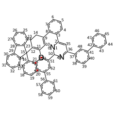 CN1C(c2ccccc2C2=CC3=C(CC2)C2(c4ccccc4O3)c3ccccc3-c3ccccc32)=CC(c2cccc(-c3ccccc3)c2)=NC1c1cccc(-c2ccccc2)c1